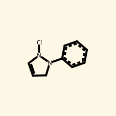 ClN1C=CCN1c1ccccc1